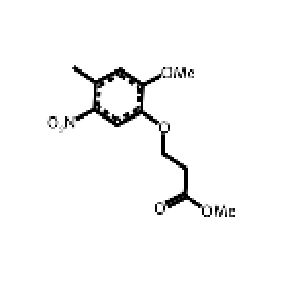 COC(=O)CCOc1cc([N+](=O)[O-])c(C)cc1OC